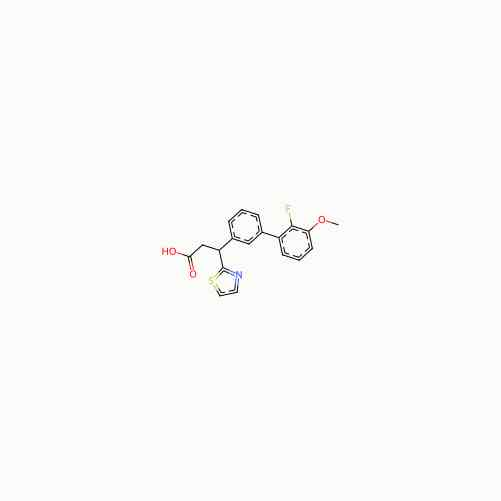 COc1cccc(-c2cccc(C(CC(=O)O)c3nccs3)c2)c1F